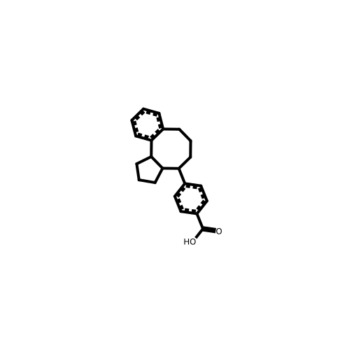 O=C(O)c1ccc(C2CCCc3ccccc3C3CCCC23)cc1